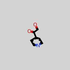 O=CC(=O)c1ccncc1